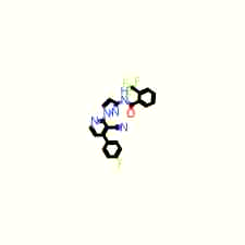 N#Cc1c(-c2ccc(F)cc2)ccnc1-n1ccc(NC(=O)c2ccccc2C(F)(F)F)n1